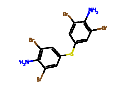 Nc1c(Br)cc(Sc2cc(Br)c(N)c(Br)c2)cc1Br